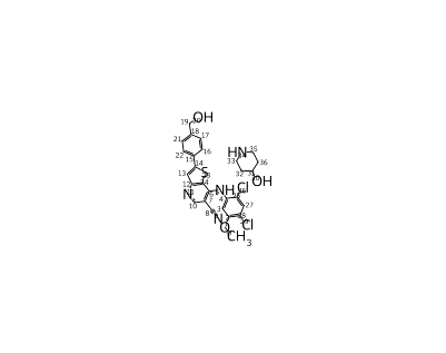 COc1cc(Nc2c(C#N)cnc3cc(-c4ccc(CO)cc4)sc23)c(Cl)cc1Cl.OC1CCNCC1